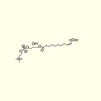 CCCCCCCCCC/C=C\CCCCCCCC(=O)OC[C@@H](O)COP(=O)([O-])OCC[N+](C)(C)C